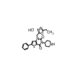 CCc1nnc(Cn2c(=O)n(C3CCNCC3)c(=O)c3sc(-c4ccccc4)cc32)o1.Cl